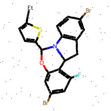 CCc1ccc(C2Oc3cc(Br)cc(F)c3C3Cc4cc(Br)ccc4N32)s1